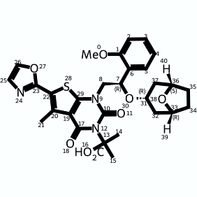 COc1ccccc1[C@H](Cn1c(=O)n(C(C)(C)C(=O)O)c(=O)c2c(C)c(-c3ncco3)sc21)O[C@H]1C[C@H]2CC[C@@H](C1)O2